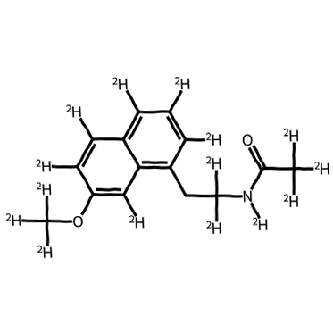 [2H]c1c([2H])c(CC([2H])([2H])N([2H])C(=O)C([2H])([2H])[2H])c2c([2H])c(OC([2H])([2H])[2H])c([2H])c([2H])c2c1[2H]